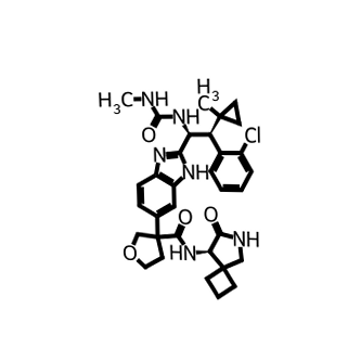 CNC(=O)N[C@H](c1nc2ccc(C3(C(=O)N[C@H]4C(=O)NCC45CCC5)CCOC3)cc2[nH]1)[C@H](c1ccccc1Cl)C1(C)CC1